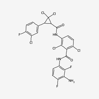 Nc1c(F)ccc(NC(=O)c2c(Cl)ccc(NC(=O)C3C(c4ccc(F)c(Cl)c4)C3(Cl)Cl)c2Cl)c1F